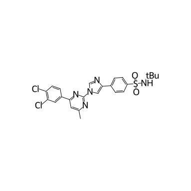 Cc1cc(-c2ccc(Cl)c(Cl)c2)nc(-n2cnc(-c3ccc(S(=O)(=O)NC(C)(C)C)cc3)c2)n1